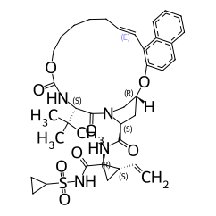 C=C[C@@H]1C[C@]1(NC(=O)[C@@H]1C[C@@H]2CN1C(=O)[C@H](C(C)(C)C)NC(=O)OCCCCC/C=C/c1c(ccc3ccccc13)O2)C(=O)NS(=O)(=O)C1CC1